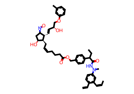 C=Cc1ccc(N(C)NC(=O)C(CC)c2ccc(COC(=O)CCC/C=C\C[C@H]3[C@@H](O)CC(N=O)[C@@H]3/C=C/[C@@H](O)COc3cccc(C)c3)cc2)cc1/C=C\C